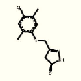 Cc1cc(SCC2=NNC(=O)C2)c(C)cc1Cl